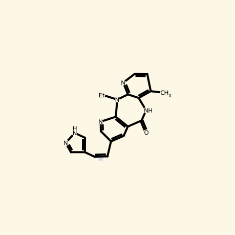 CCN1c2ncc(/C=C\c3cn[nH]c3)cc2C(=O)Nc2c(C)ccnc21